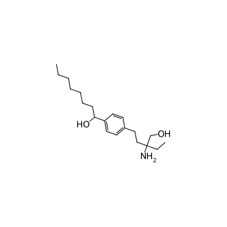 CCCCCCCC(O)c1ccc(CCC(N)(CC)CO)cc1